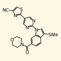 CSc1cn(-c2ncc(-c3nc(C#N)cs3)cn2)c2cc(C(=O)N3CCOCC3)ccc12